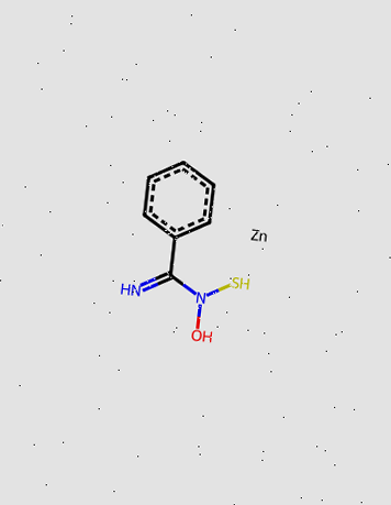 N=C(c1ccccc1)N(O)S.[Zn]